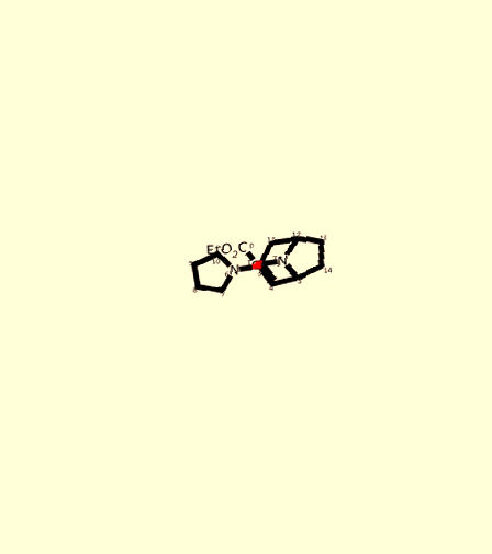 CCOC(=O)ON1C2C=C(N3CCCC3)CC1CC2